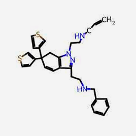 C=CCNCCn1nc(CCNCc2ccccc2)c2c1CC(c1ccsc1)(c1ccsc1)C=C2